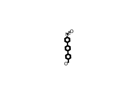 O=C=Nc1ccc(-c2ccc(-c3ccc(C=O)cc3)cc2)cc1